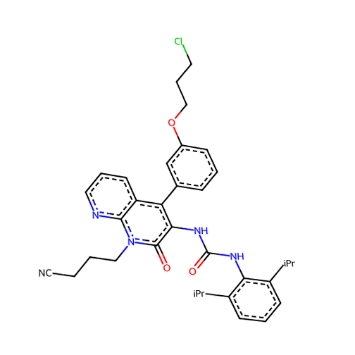 CC(C)c1cccc(C(C)C)c1NC(=O)Nc1c(-c2cccc(OCCCCl)c2)c2cccnc2n(CCCC#N)c1=O